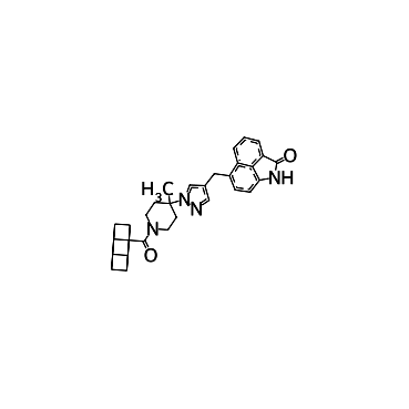 CC1(n2cc(Cc3ccc4c5c(cccc35)C(=O)N4)cn2)CCN(C(=O)C23C4C5C6C4C2C6C53)CC1